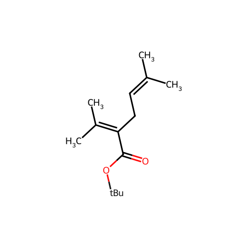 CC(C)=CCC(C(=O)OC(C)(C)C)=C(C)C